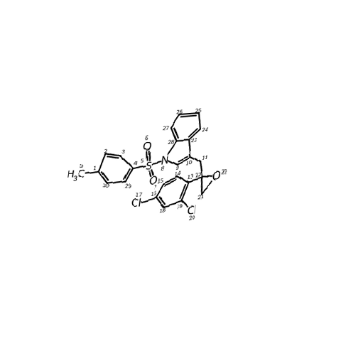 Cc1ccc(S(=O)(=O)n2cc(CC3(c4ccc(Cl)cc4Cl)CO3)c3ccccc32)cc1